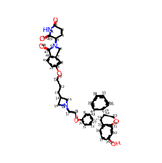 O=C1CCC(N2Cc3cc(OCCCC4CN(CCOc5ccc([C@H]6c7ccc(O)cc7OC[C@H]6c6ccccc6)cc5)C4)ccc3C2=O)C(=O)N1